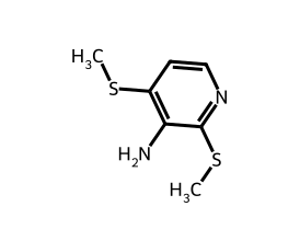 CSc1ccnc(SC)c1N